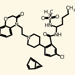 CCCCC(NC(=O)c1cc(Cl)ccc1C1CCN(CCN2C(=O)COc3ccccc32)CC1)NS(C)(=O)=O.c1cc2cc-2c1